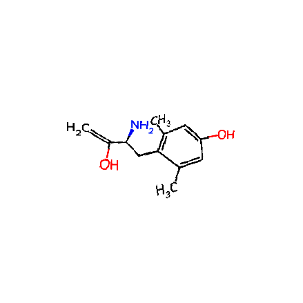 C=C(O)[C@@H](N)Cc1c(C)cc(O)cc1C